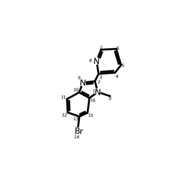 Cn1c(-c2ccccn2)nc2ccc(Br)cc21